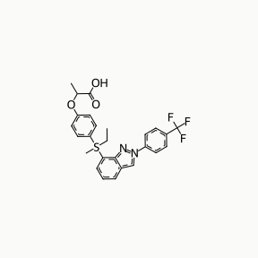 CCS(C)(c1ccc(OC(C)C(=O)O)cc1)c1cccc2cn(-c3ccc(C(F)(F)F)cc3)nc12